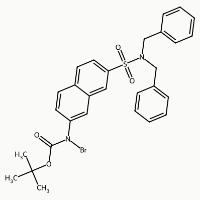 CC(C)(C)OC(=O)N(Br)c1ccc2ccc(S(=O)(=O)N(Cc3ccccc3)Cc3ccccc3)cc2c1